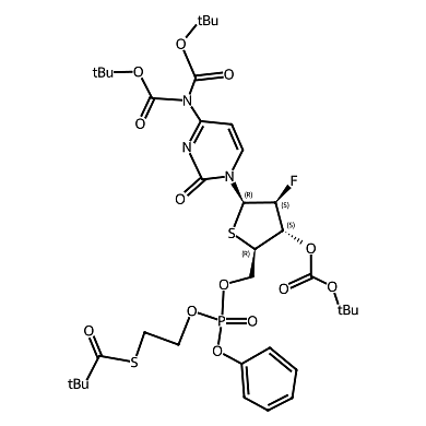 CC(C)(C)OC(=O)O[C@H]1[C@H](F)[C@H](n2ccc(N(C(=O)OC(C)(C)C)C(=O)OC(C)(C)C)nc2=O)S[C@@H]1COP(=O)(OCCSC(=O)C(C)(C)C)Oc1ccccc1